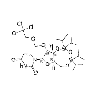 CC(C)[Si]1(C(C)C)OC[C@H]2O[C@@H](n3ccc(=O)[nH]c3=O)[C@H](OCOCC(Cl)(Cl)Cl)[C@@H]2O[Si](C(C)C)(C(C)C)O1